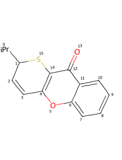 CC(C)C1C=Cc2oc3ccccc3c(=O)c2S1